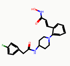 O=C(/C=C/c1ccccc1N1CCC(NC(=O)Cc2ccc(F)cc2)CC1)NO